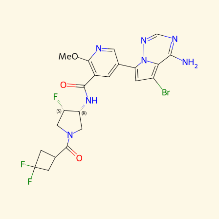 COc1ncc(-c2cc(Br)c3c(N)ncnn23)cc1C(=O)N[C@@H]1CN(C(=O)C2CC(F)(F)C2)C[C@@H]1F